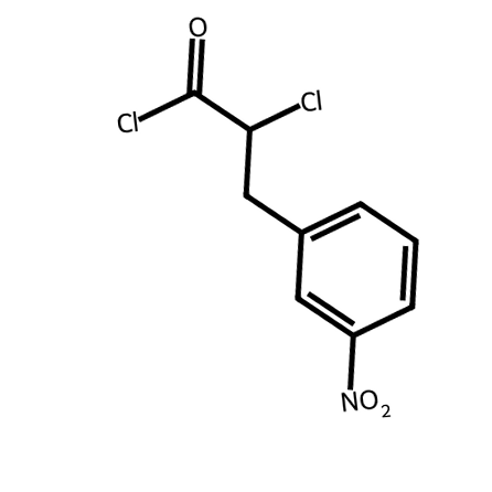 O=C(Cl)C(Cl)Cc1cccc([N+](=O)[O-])c1